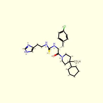 O=C([C@@H](Cc1ccc(Cl)cc1)NC(=S)NCCc1c[nH]cn1)N1CCC(C(=O)O)(C2CCCCC2)CC1